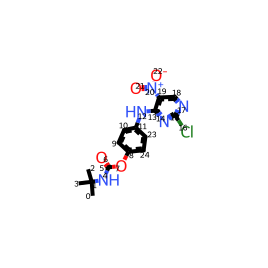 CC(C)(C)NC(=O)Oc1ccc(Nc2nc(Cl)ncc2[N+](=O)[O-])cc1